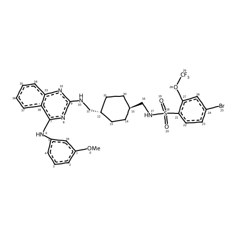 COc1cccc(Nc2nc(NC[C@H]3CC[C@H](CNS(=O)(=O)c4ccc(Br)cc4OC(F)(F)F)CC3)nc3ccccc23)c1